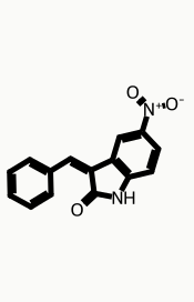 O=C1Nc2ccc([N+](=O)[O-])cc2C1=Cc1ccccc1